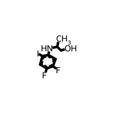 CC(CO)Nc1cc(F)c(F)cc1I